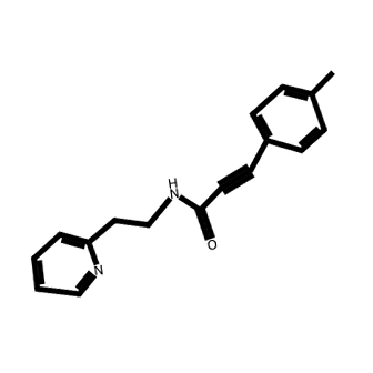 Cc1ccc(C#CC(=O)NCCc2ccccn2)cc1